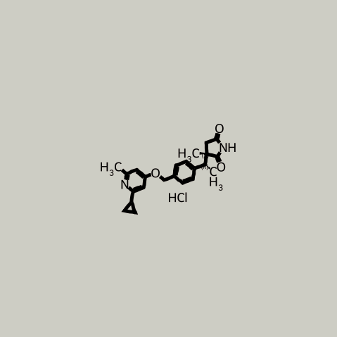 Cc1cc(OCc2ccc([C@@H](C)[C@]3(C)CC(=O)NC3=O)cc2)cc(C2CC2)n1.Cl